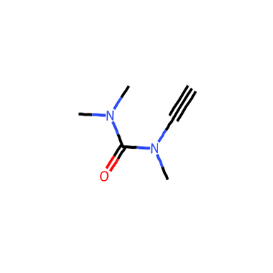 C#CN(C)C(=O)N(C)C